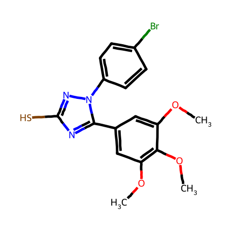 COc1cc(-c2nc(S)nn2-c2ccc(Br)cc2)cc(OC)c1OC